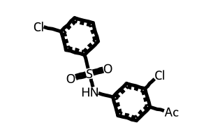 CC(=O)c1ccc(NS(=O)(=O)c2cccc(Cl)c2)cc1Cl